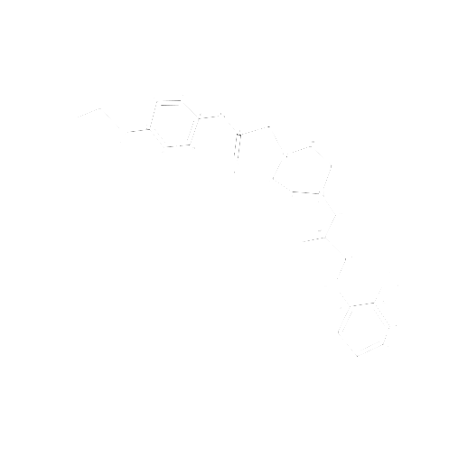 CCSc1ccc(NC(=O)CN2CCN(CC(O)COc3ccccc3C)CC2)cc1